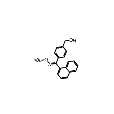 CCCCO/N=C(\c1ccc(CO)cc1)c1cccc2ccccc12